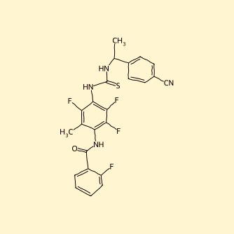 Cc1c(F)c(NC(=S)NC(C)c2ccc(C#N)cc2)c(F)c(F)c1NC(=O)c1ccccc1F